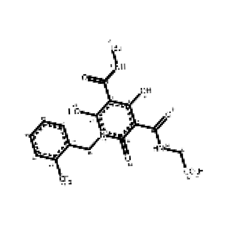 CC(C)(C)NC(=O)c1c(O)c(C(=O)NCC(=O)O)c(=O)n(Cc2ccccc2C(F)(F)F)c1O